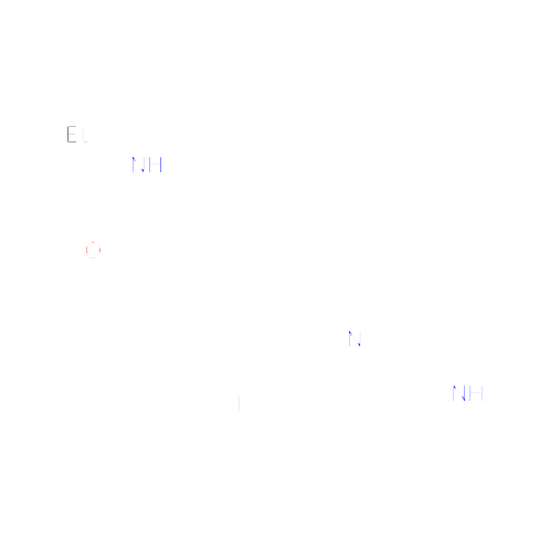 CCNC(=O)c1ccc(N2CCNCC2)c(I)c1